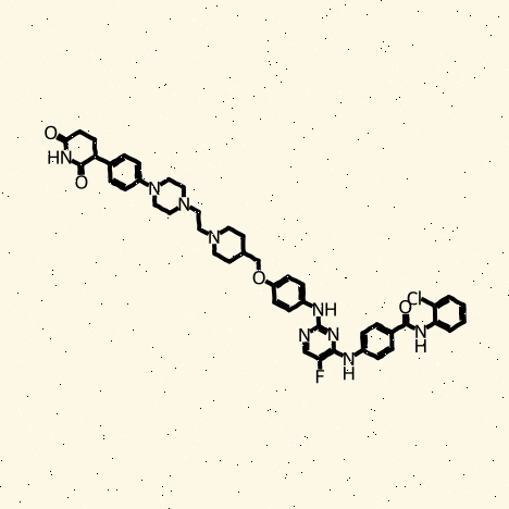 O=C1CCC(c2ccc(N3CCN(CCN4CCC(COc5ccc(Nc6ncc(F)c(Nc7ccc(C(=O)Nc8ccccc8Cl)cc7)n6)cc5)CC4)CC3)cc2)C(=O)N1